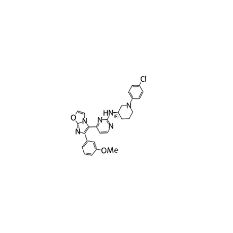 COc1cccc(-c2nc3occn3c2-c2ccnc(N[C@@H]3CCCN(c4ccc(Cl)cc4)C3)n2)c1